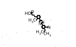 CCc1c(CCCC(=O)O)cccc1-c1cnc(-c2ccc(CC(C)C)c(C#N)c2)nc1